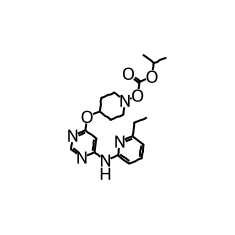 CCc1cccc(Nc2cc(OC3CCN(OC(=O)OC(C)C)CC3)ncn2)n1